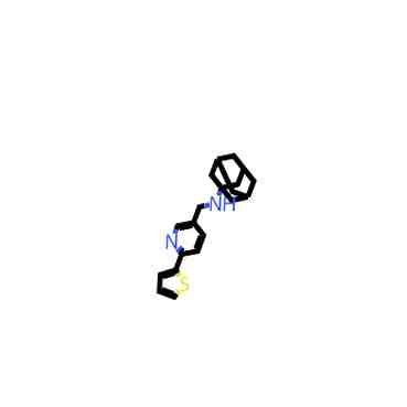 c1csc(-c2ccc(CNC34CC5CC(CC(C5)C3)C4)cn2)c1